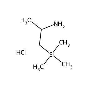 CC(N)C[Si](C)(C)C.Cl